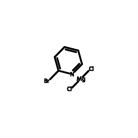 Brc1ccccn1.[Cl][Mg][Cl]